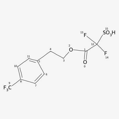 O=C(OCCc1ccc(C(F)(F)F)cc1)C(F)(F)S(=O)(=O)O